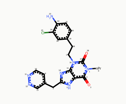 CCCn1c(=O)c2[nH]c(Cc3ccnnc3)nc2n(CCc2ccc(N)c(Cl)c2)c1=O